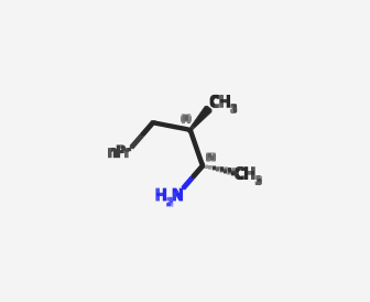 CCCC[C@@H](C)[C@H](C)N